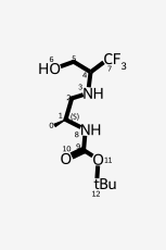 C[C@@H](CNC(CO)C(F)(F)F)NC(=O)OC(C)(C)C